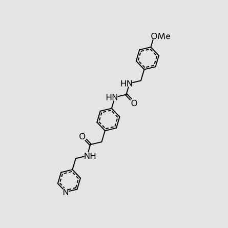 COc1ccc(CNC(=O)Nc2ccc(CC(=O)NCc3ccncc3)cc2)cc1